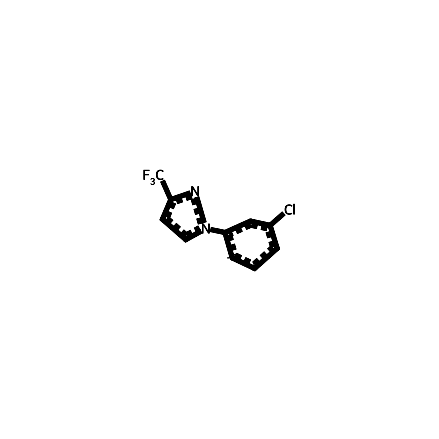 FC(F)(F)c1ccn(-c2[c]ccc(Cl)c2)n1